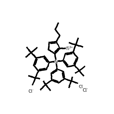 CCCC1=CCC([Si](c2cc(C(C)(C)C)cc(C(C)(C)C)c2)(c2cc(C(C)(C)C)cc(C(C)(C)C)c2)c2cc(C(C)(C)C)cc(C(C)(C)C)c2)=[C]1[Ti+3].[Cl-].[Cl-].[Cl-]